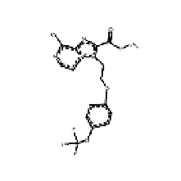 COC(=O)c1nc2c(Cl)nccn2c1CCOc1ccc(OC(F)(F)F)cc1